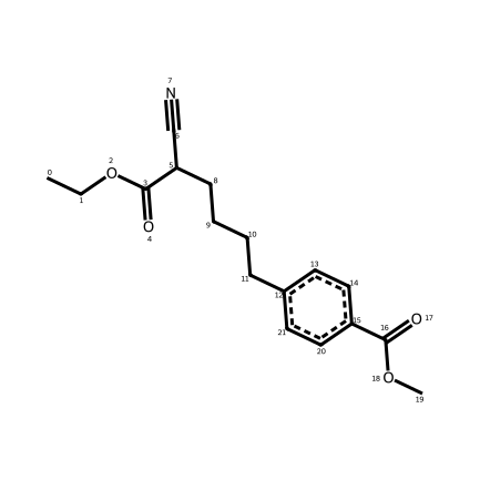 CCOC(=O)C(C#N)CCCCc1ccc(C(=O)OC)cc1